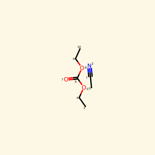 CC#N.CCOC(=O)OCC